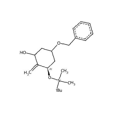 C=C1C(O)CC(OCc2ccccc2)C[C@H]1O[Si](C)(C)C(C)(C)C